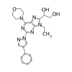 CCn1c(C(O)CO)nc2c(N3CCOCC3)nc(-n3cc(-c4ccccc4)cn3)nc21